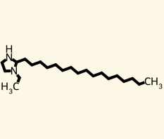 CCCCCCCCCCCCCCCCCC1NCCN1CC